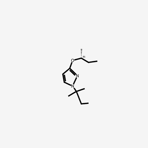 CC[C@@H](C)Oc1ccn(C(C)(C)CC)n1